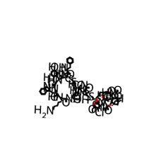 COc1cc2cc(c1Cl)N(C)C(=O)C[C@@]1(OC(=O)[C@H](C)N(C)C(=O)CCSSC(C)(C)[C@H](NC(=O)[C@@H]3CSSC[C@H](NC(=O)[C@H](N)Cc4ccccc4)C(=O)N[C@@H](Cc4ccc(O)cc4)C(=O)N[C@H](Cc4c[nH]c5ccccc45)C(=O)N[C@@H](CCCCCN)C(=O)N[C@@H]([C@@H](C)O)C(=O)N3)C(N)=O)C3[C@H](OC(=O)N[C@@]3(O)[C@H](OC)/C=C/C=C(\C)C2)C2(C)C[C@@]1(C)O2